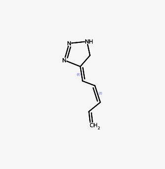 C=C/C=C\C=C1/CNN=N1